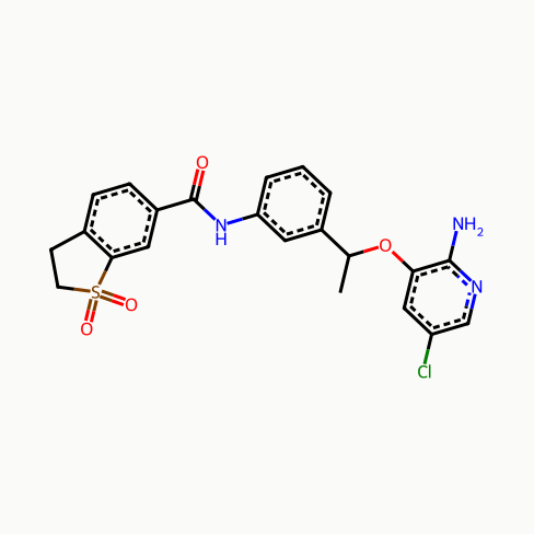 CC(Oc1cc(Cl)cnc1N)c1cccc(NC(=O)c2ccc3c(c2)S(=O)(=O)CC3)c1